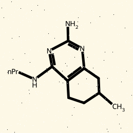 CCCNc1nc(N)nc2c1CCC(C)C2